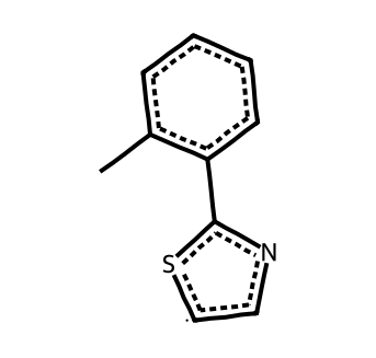 Cc1ccccc1-c1nc[c]s1